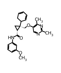 COc1cccc(NC(=O)[C@@H]2C[C@@]2(COc2cnc(C)nc2C)C2C=CC=CC2)c1